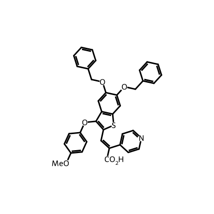 COc1ccc(Oc2c(C=C(C(=O)O)c3ccncc3)sc3cc(OCc4ccccc4)c(OCc4ccccc4)cc23)cc1